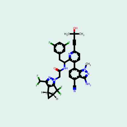 Cn1nc(N)c2c(C#N)ccc(-c3ccc(C#CC(C)(C)O)nc3C(Cc3cc(F)cc(F)c3)NC(=O)Cn3nc(C(F)F)c4c3C(F)(F)[C@@H]3C[C@H]43)c21